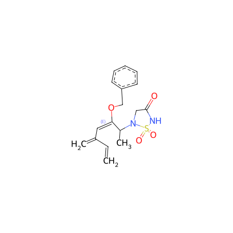 C=CC(=C)/C=C(/OCc1ccccc1)C(C)N1CC(=O)NS1(=O)=O